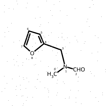 CN(C=O)Cc1ccco1